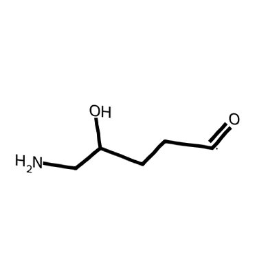 NCC(O)CC[C]=O